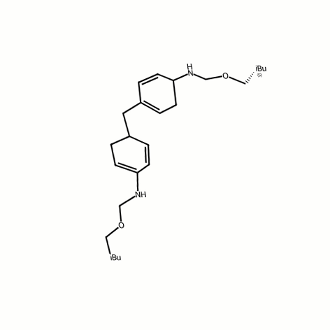 CCC(C)COCNC1=CCC(CC2=CCC(NCOC[C@@H](C)CC)C=C2)C=C1